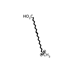 CS(=O)(=O)CCCCCCCCCC=CCCCCCCCC(=O)O